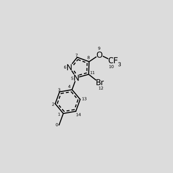 Cc1ccc(-n2ncc(OC(F)(F)F)c2Br)cc1